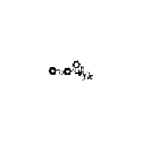 CC(C)(CN(c1ccc(OCc2ccccc2)cc1)C1C=CCCC1)NC(=O)OC(C)(C)C